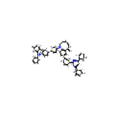 C=C1/C=C\C=C/CN(c2ccc(-c3ccc4c(c3)c3ccccc3n4-c3ccccc3)cc2)c2ccc(-c3cccc(-c4nc(-c5ccccc5)cc(-c5ccccc5)n4)c3)cc21